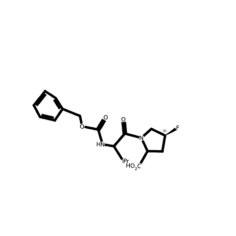 CC(C)C(NC(=O)OCc1ccccc1)C(=O)N1C[C@@H](F)CC1C(=O)O